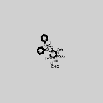 CC[C@H]1O[C@H](OP(=O)(Oc2ccccc2)Oc2ccccc2)[C@@H](OC(C)=O)[C@@H](OC(C)=O)[C@@H]1NOC=O